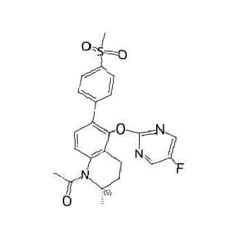 CC(=O)N1c2ccc(-c3ccc(S(C)(=O)=O)cc3)c(Oc3ncc(F)cn3)c2CC[C@@H]1C